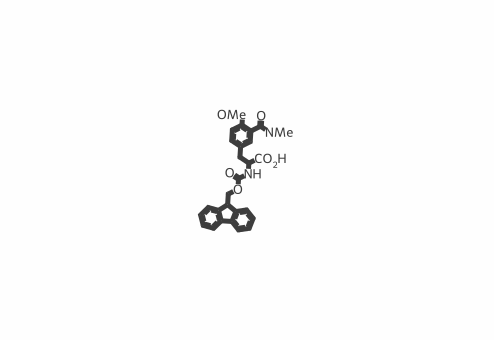 CNC(=O)c1cc(CC(NC(=O)OCC2c3ccccc3-c3ccccc32)C(=O)O)ccc1OC